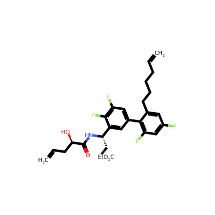 C=CCCCCc1cc(F)cc(F)c1-c1cc(F)c(F)c([C@H](CC(=O)OCC)NC(=O)[C@H](O)CC=C)c1